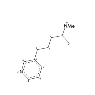 CNC(C)CCCc1cccnc1